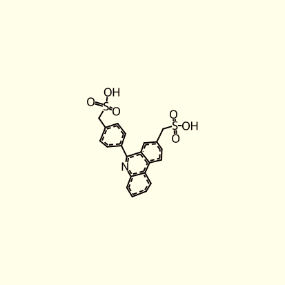 O=S(=O)(O)Cc1ccc(-c2nc3ccccc3c3ccc(CS(=O)(=O)O)cc23)cc1